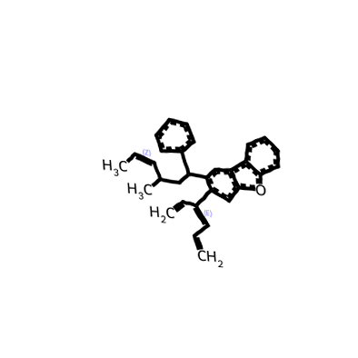 C=C/C=C(\C=C)c1cc2oc3ccccc3c2cc1C(CC(C)/C=C\C)c1ccccc1